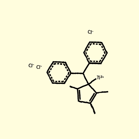 CC1=CC(C)=C(C)[C]1([Ti+3])C(c1ccccc1)c1ccccc1.[Cl-].[Cl-].[Cl-]